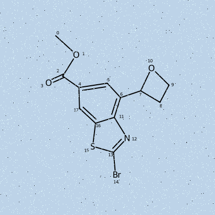 COC(=O)c1cc(C2CCO2)c2nc(Br)sc2c1